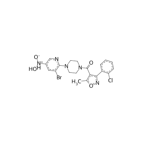 Cc1onc(-c2ccccc2Cl)c1C(=O)N1CCN(c2ncc([NH+]([O-])O)cc2Br)CC1